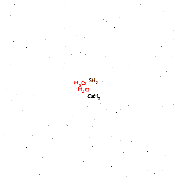 O.O.S.[CaH2]